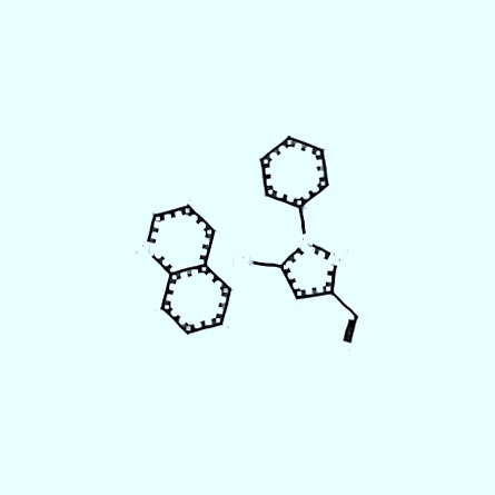 Nc1cc(C=O)nn1-c1ccccc1.c1ccc2ncccc2c1